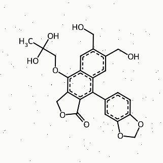 CC(O)(O)COc1c2c(c(-c3ccc4c(c3)OCO4)c3cc(CO)c(CO)cc13)C(=O)OC2